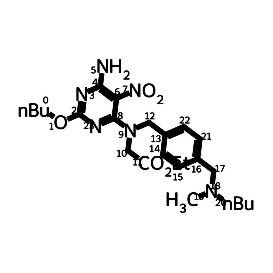 CCCCOc1nc(N)c([N+](=O)[O-])c(N(CC(=O)OCC)Cc2ccc(CN(C)CCCC)cc2)n1